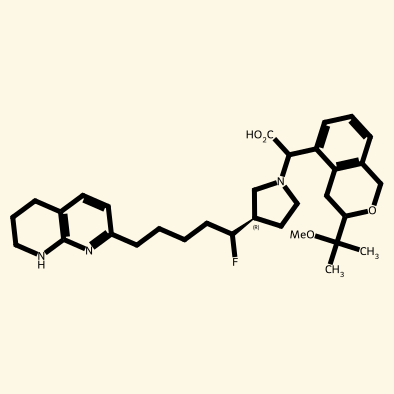 COC(C)(C)C1Cc2c(cccc2C(C(=O)O)N2CC[C@@H](C(F)CCCCc3ccc4c(n3)NCCC4)C2)CO1